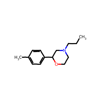 CCCN1CCOC(c2ccc(C)cc2)C1